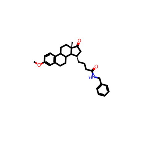 COc1ccc2c(c1)CCC1C2CC[C@]2(C)C(=O)C[C@@H](CCCC(=O)NCc3ccccc3)C12